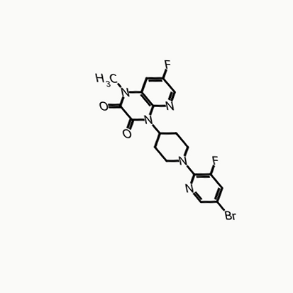 Cn1c(=O)c(=O)n(C2CCN(c3ncc(Br)cc3F)CC2)c2ncc(F)cc21